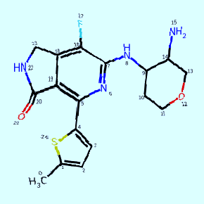 Cc1ccc(-c2nc(NC3CCOCC3N)c(F)c3c2C(=O)NC3)s1